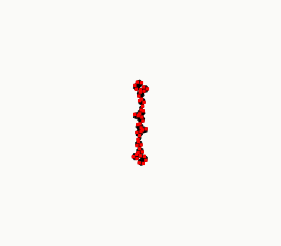 C(=C\c1ccc2c(c1)C1(CCCC1)c1cc(-c3ccc4c(c3)C3(CCCC3)c3cc(/C=C/c5ccc(-c6ccc7c(c6)c6ccccc6n7-c6cccc7ccccc67)cc5)ccc3-4)ccc1-2)/c1ccc(-c2ccc3c(c2)c2ccccc2n3-c2cccc3ccccc23)cc1